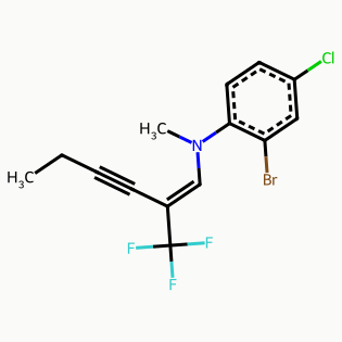 CCC#C/C(=C\N(C)c1ccc(Cl)cc1Br)C(F)(F)F